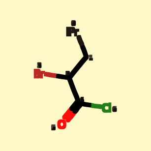 CC(C)CC(Br)C(=O)Cl